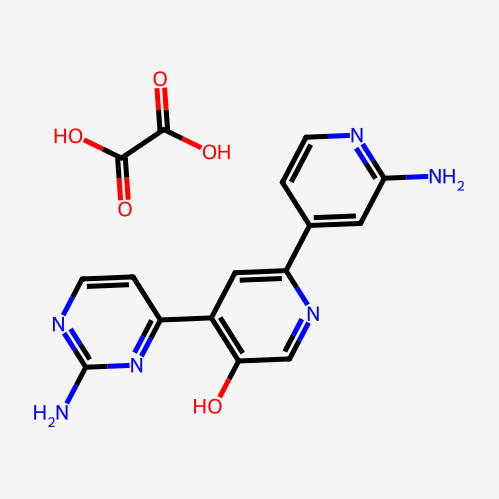 Nc1cc(-c2cc(-c3ccnc(N)n3)c(O)cn2)ccn1.O=C(O)C(=O)O